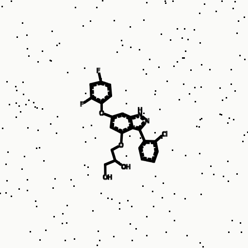 OCC(O)COc1cc(Oc2ccc(F)cc2F)cc2[nH]nc(-c3ccccc3Cl)c12